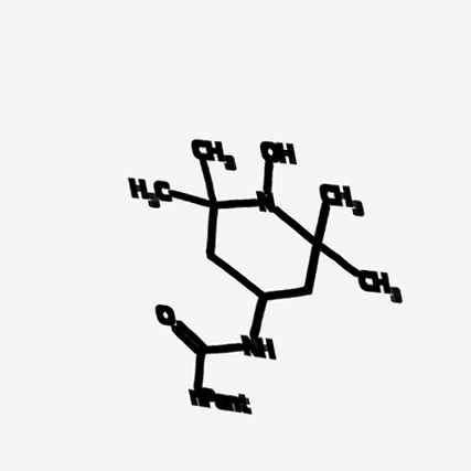 CCCCCC(=O)NC1CC(C)(C)N(O)C(C)(C)C1